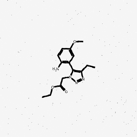 CCOC(=O)Cn1nnc(CC)c1-c1cc(OC)ccc1N